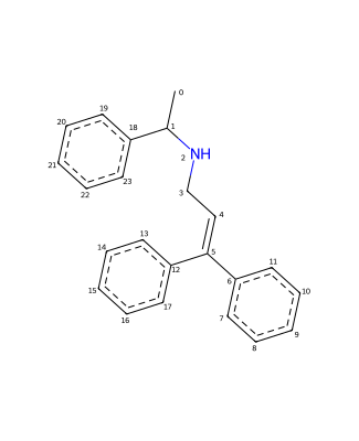 CC(NCC=C(c1ccccc1)c1ccccc1)c1ccccc1